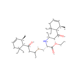 CCOC(=O)[C@H](CSC(C)CC(=O)C1[C@H](C)C=CCC1(C)C)NC(C)CC(=O)C1[C@H](C)C=CCC1(C)C